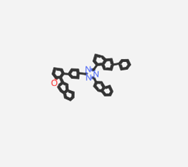 c1ccc(-c2ccc3c(-c4nc(-c5ccc(-c6cccc7oc8cc9ccccc9cc8c67)cc5)nc(-c5ccc6ccccc6c5)n4)cccc3c2)cc1